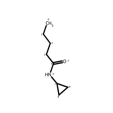 CCCCC(=O)NC1CC1